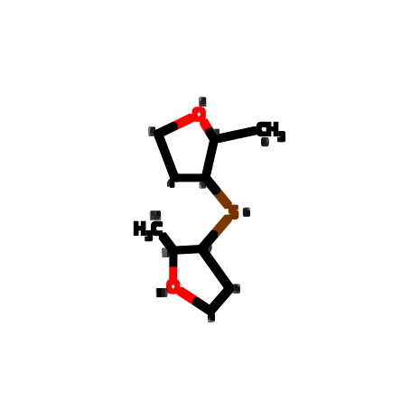 CC1OCCC1SC1CCOC1C